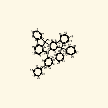 CC1(C)c2ccccc2-c2cccc(N(c3cccc(-c4ccccc4)c3)c3ccc4c(c3)C(c3ccccc3)(c3ccccc3)c3ccccc3-4)c21